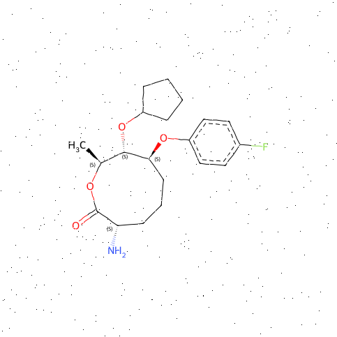 C[C@@H]1OC(=O)[C@@H](N)CCC[C@H](Oc2ccc(F)cc2)[C@H]1OC1CCCC1